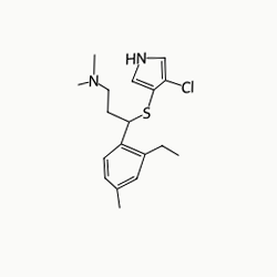 CCc1cc(C)ccc1C(CCN(C)C)Sc1c[nH]cc1Cl